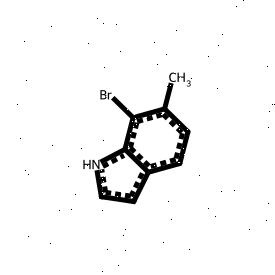 Cc1ccc2cc[nH]c2c1Br